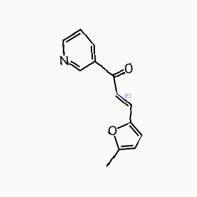 Cc1ccc(/C=C/C(=O)c2cccnc2)o1